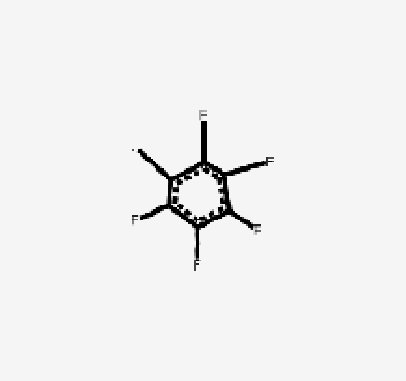 [CH2]c1c(F)c(F)c(F)c(F)c1F